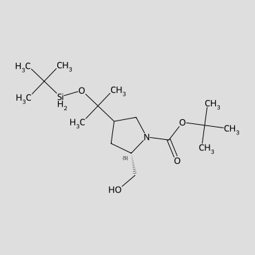 CC(C)(C)OC(=O)N1CC(C(C)(C)O[SiH2]C(C)(C)C)C[C@H]1CO